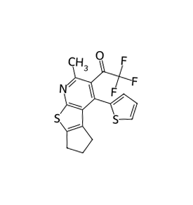 Cc1nc2sc3c(c2c(-c2cccs2)c1C(=O)C(F)(F)F)CCC3